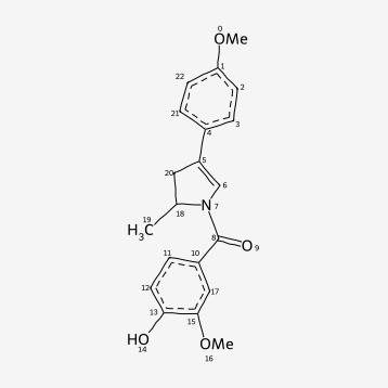 COc1ccc(C2=CN(C(=O)c3ccc(O)c(OC)c3)C(C)C2)cc1